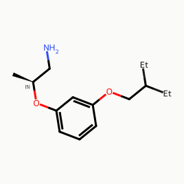 CCC(CC)COc1cccc(O[C@@H](C)CN)c1